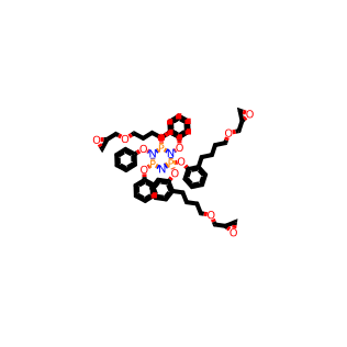 c1ccc(ON2P(Oc3ccccc3)N=P(Oc3ccccc3CCCCOCC3CO3)(Oc3ccccc3CCCCOCC3CO3)N(Oc3ccccc3CCCCOCC3CO3)P2Oc2ccccc2)cc1